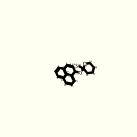 [SiH3]C1(OC2C=Cc3cccc4cccc2c34)CCCCO1